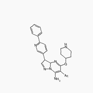 CC(=O)C1=C(N)N2N=CC(c3ccc(-c4ccccc4)nc3)C2N=C1OC1CCNCC1